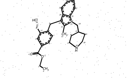 CCOC(=O)c1ccc(Cc2c(C)n(CC3CCNCC3)c3ccccc23)c(F)c1.Cl